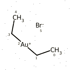 C[CH2][Au+][CH2]C.[Br-]